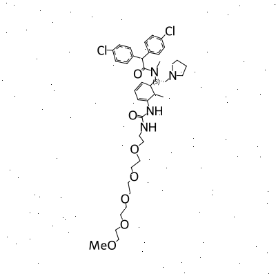 COCCOCCOCCOCCOCCNC(=O)NC1=CC=CC([C@@H](CN2CCCC2)N(C)C(=O)C(c2ccc(Cl)cc2)c2ccc(Cl)cc2)C1C